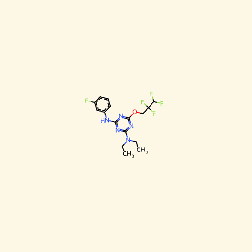 CCN(CC)c1nc(Nc2cccc(F)c2)nc(OCC(F)(F)C(F)F)n1